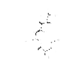 CC[C@H](C)C(C)(C)C(=O)C(=O)/C(C)=C(\C)[C@H](C)OC(=O)C(C)[C@@H](C)CC(C)C